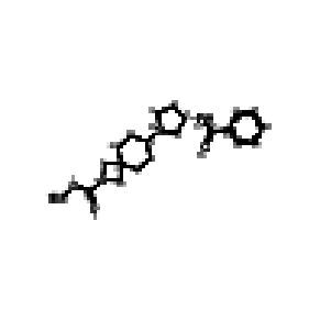 CC(C)(C)OC(=O)N1CC2(CCC(N3CC[C@H](NC(=O)c4ccccc4)C3)CC2)C1